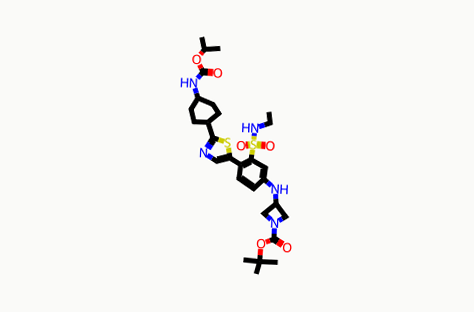 CCNS(=O)(=O)c1cc(NC2CN(C(=O)OC(C)(C)C)C2)ccc1-c1cnc(C2CCC(NC(=O)OC(C)C)CC2)s1